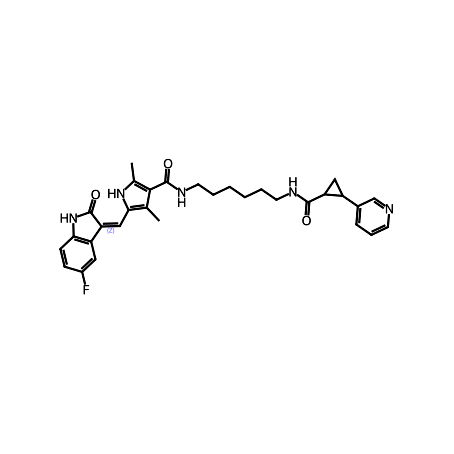 Cc1[nH]c(/C=C2\C(=O)Nc3ccc(F)cc32)c(C)c1C(=O)NCCCCCCNC(=O)C1CC1c1cccnc1